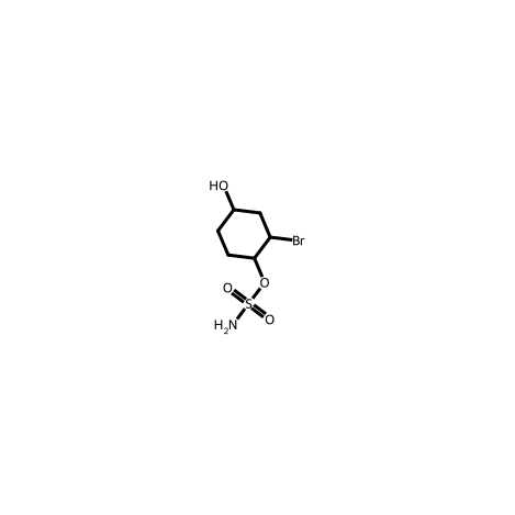 NS(=O)(=O)OC1CCC(O)CC1Br